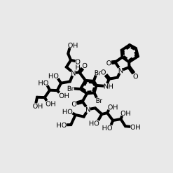 O=C(CN1C(=O)c2ccccc2C1=O)Nc1c(Br)c(C(=O)N(CC(O)CO)CC(O)C(O)C(O)C(O)CO)c(Br)c(C(=O)N(CC(O)CO)CC(O)C(O)C(O)C(O)CO)c1Br